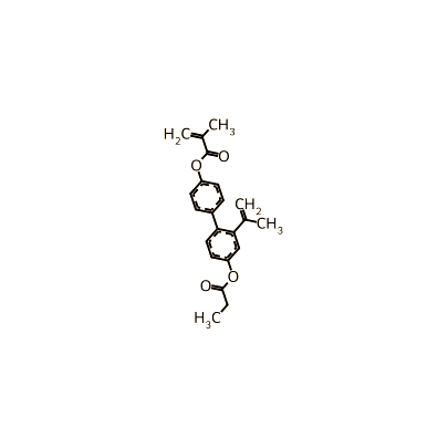 C=C(C)C(=O)Oc1ccc(-c2ccc(OC(=O)CC)cc2C(=C)C)cc1